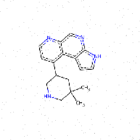 CC1(C)CNCC(c2ccnc3cnc4[nH]ccc4c23)C1